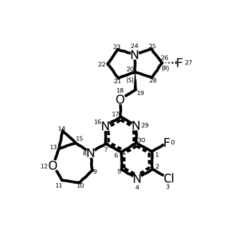 Fc1c(Cl)ncc2c(N3CCCOC4CC43)nc(OC[C@@]34CCCN3C[C@H](F)C4)nc12